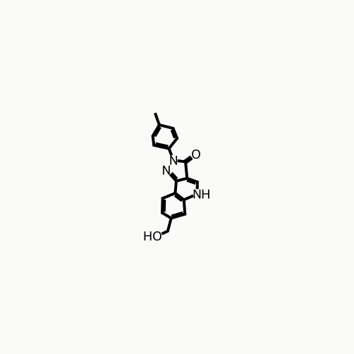 Cc1ccc(-n2nc3c4ccc(CO)cc4[nH]cc-3c2=O)cc1